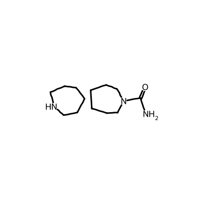 C1CCCNCC1.NC(=O)N1CCCCCC1